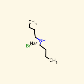 CCCCNCCCC.[Br-].[Na+]